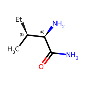 CC[C@H](C)[C@@H](N)C(N)=O